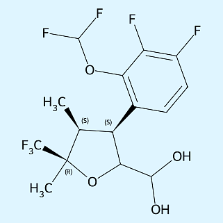 C[C@H]1[C@@H](c2ccc(F)c(F)c2OC(F)F)C(C(O)O)O[C@@]1(C)C(F)(F)F